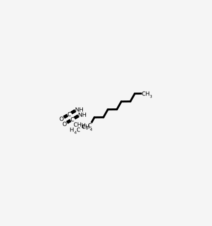 C.C.C.CCCCCCCCC.N=C=O.N=C=O